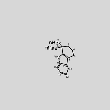 CCCCCCC1(CCCCCC)CCCC2=C1[N]c1ccccc12